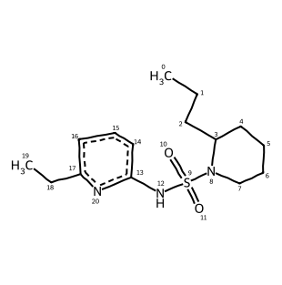 CCCC1CCCCN1S(=O)(=O)Nc1cccc(CC)n1